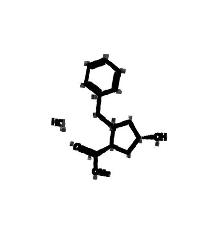 COC(=O)[C@@H]1C[C@@H](O)CN1Cc1ccccc1.Cl